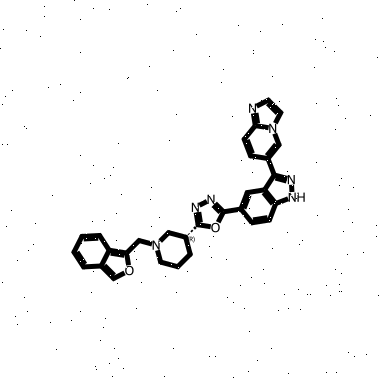 c1ccc2c(CN3CCC[C@@H](c4nnc(-c5ccc6[nH]nc(-c7ccc8nccn8c7)c6c5)o4)C3)occ2c1